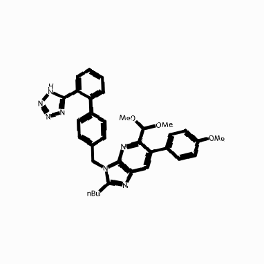 CCCCc1nc2cc(-c3ccc(OC)cc3)c(C(OC)OC)nc2n1Cc1ccc(-c2ccccc2-c2nnn[nH]2)cc1